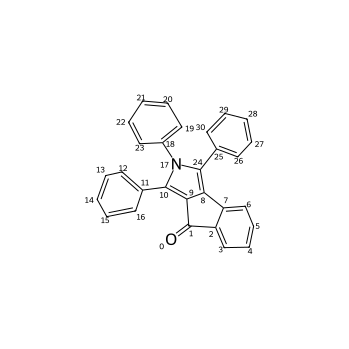 O=C1c2ccccc2-c2c1c(-c1ccccc1)n(-c1ccccc1)c2-c1ccccc1